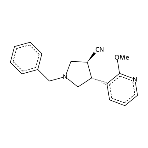 COc1ncccc1[C@@H]1CN(Cc2ccccc2)C[C@H]1C#N